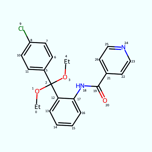 CCOC(OCC)(c1ccc(Cl)cc1)c1ccccc1NC(=O)c1ccncc1